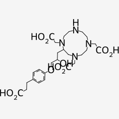 O=C(O)CCc1ccc(OCC(O)CC2CN(CC(=O)O)CCN(CC(=O)O)CCNCCN2CC(=O)O)cc1